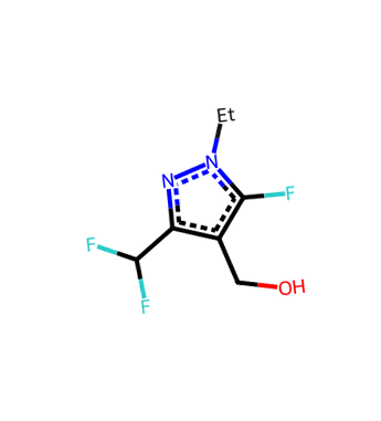 CCn1nc(C(F)F)c(CO)c1F